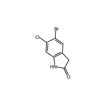 O=C1Cc2cc(Br)c(Cl)cc2N1